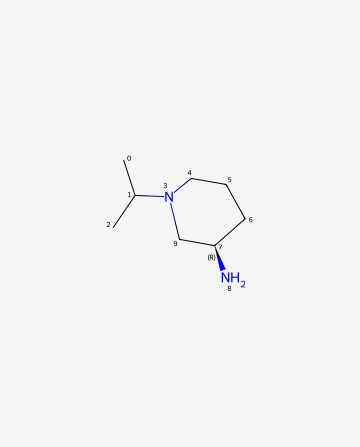 CC(C)N1CCC[C@@H](N)C1